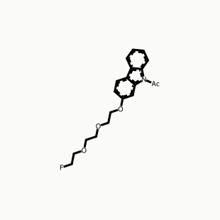 CC(=O)n1c2ccccc2c2ccc(OCCOCCOCCF)cc21